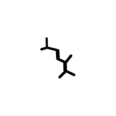 CC(C)=C(C)C=CC(C)C